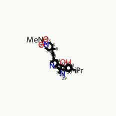 CNS(=O)(=O)N1CCC(C)(C#Cc2cncc(C(O)(c3ccc(C(C)C)cc3)C3(C)CN(C)C3)c2)CC1